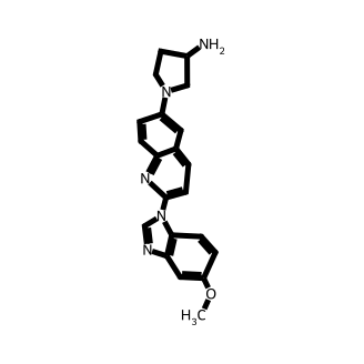 COc1ccc2c(c1)ncn2-c1ccc2cc(N3CCC(N)C3)ccc2n1